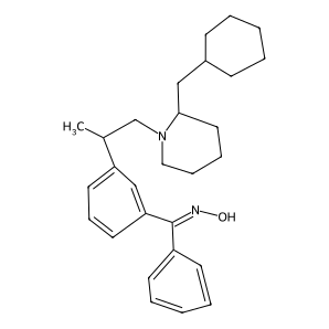 CC(CN1CCCCC1CC1CCCCC1)c1cccc(C(=NO)c2ccccc2)c1